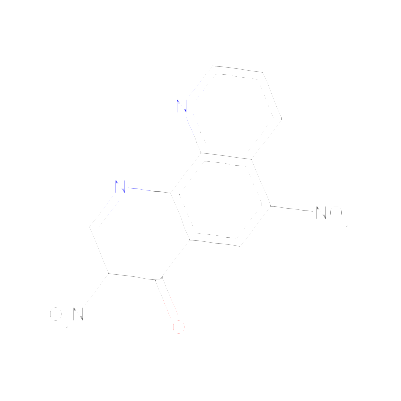 O=C1c2cc([N+](=O)[O-])c3cccnc3c2N=CC1[N+](=O)[O-]